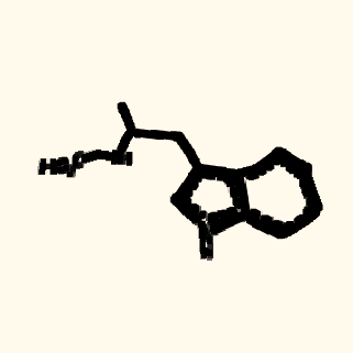 CC(Cc1c[nH]c2ccccc12)NC(=O)O